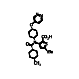 CC(C)(C)c1cc(N(C(=O)[C@H]2CC[C@H](C)CC2)[C@H]2CC[C@@H](Oc3ccnnc3)CC2)c(C(=O)O)s1